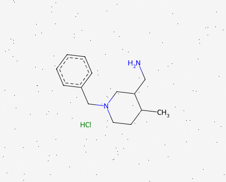 CC1CCN(Cc2ccccc2)CC1CN.Cl